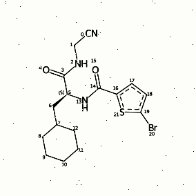 N#CCNC(=O)[C@H](CC1CCCCC1)NC(=O)c1ccc(Br)s1